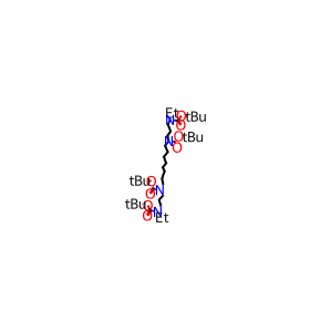 CCN(CCCN(CCCCCCCCN(CCCN(CC)C(=O)OC(C)(C)C)C(=O)OC(C)(C)C)C(=O)OC(C)(C)C)C(=O)OC(C)(C)C